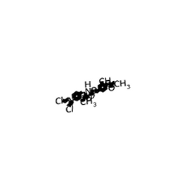 CCC(=O)Oc1ccc(COC(=O)N[C@@H](Cc2ccc(N(CCCl)CCCl)cc2)C(=O)OC)cc1C